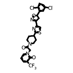 O=C(Cn1cccc(C(F)(F)F)c1=O)N1CCC(c2nc(C3=NOC(c4cc(Cl)ccc4Cl)C3)cs2)CC1